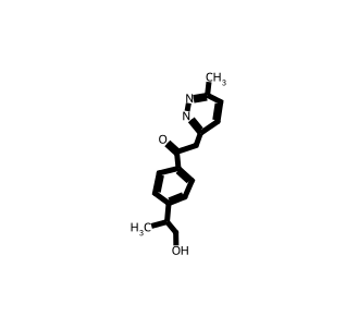 Cc1ccc(CC(=O)c2ccc(C(C)CO)cc2)nn1